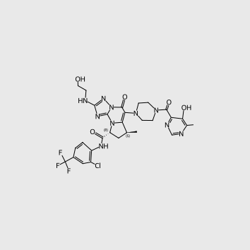 Cc1ncnc(C(=O)N2CCN(c3c4n(c5nc(NCCO)nn5c3=O)[C@@H](C(=O)Nc3ccc(C(F)(F)F)cc3Cl)C[C@@H]4C)CC2)c1O